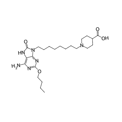 CCCCOc1nc(N)c2[nH]c(=O)n(CCCCCCCCN3CCC(C(=O)O)CC3)c2n1